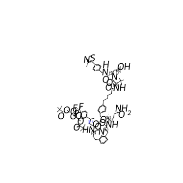 C/C(=C\C(=O)N[C@H]1CCc2cccc3c2N(C1=O)[C@H](C(=O)N[C@@H](CCC(N)=O)[C@@H](C)OCc1ccc(CCCCC(=O)N[C@H](C(=O)N2C[C@H](O)C[C@H]2C(=O)NCc2ccc(-c4scnc4C)cc2)C(C)(C)C)cc1)C3)c1ccc(C(F)(F)P(=O)(OCOC(=O)C(C)(C)C)OCOC(=O)C(C)(C)C)cc1